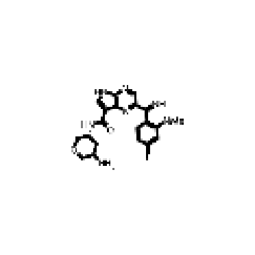 CNc1cc(F)ccc1C(=N)c1cnc2[nH]cc(C(=O)N[C@H]3COCC(N)C3)c2n1